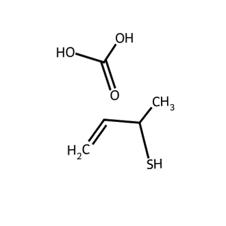 C=CC(C)S.O=C(O)O